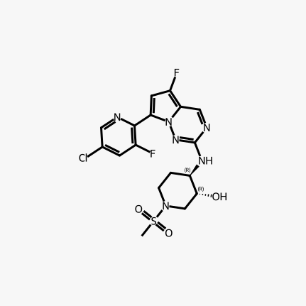 CS(=O)(=O)N1CC[C@@H](Nc2ncc3c(F)cc(-c4ncc(Cl)cc4F)n3n2)[C@H](O)C1